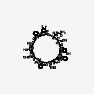 CCCC[C@H]1C(=O)N2C[C@H](O)C[C@@H]2C(=O)N[C@@H](COC=O)C(=O)N[C@@H](C(C)C)C(=O)N(C)[C@@H](Cc2ccccc2)C(=O)N[C@@H](COC=O)C(=O)N2CCOC[C@@H]2C(=O)N[C@@H](Cc2c[nH]c3ccccc23)C(=O)N[C@@H](Cc2ccc(O)cc2)C(=O)N[C@@H](CCO)C(=O)N[C@H](C(=O)NCC(N)=O)CSCC(=O)N[C@@H](Cc2cc(F)c(F)c(F)c2)C(=O)N(C)[C@@H](Cc2ccccc2)C(=O)N1C